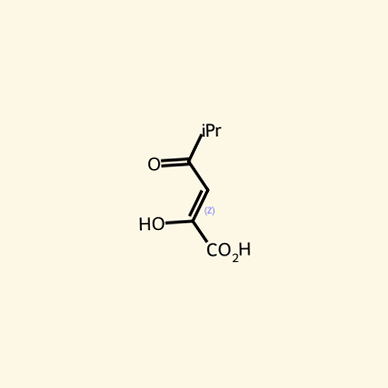 CC(C)C(=O)/C=C(\O)C(=O)O